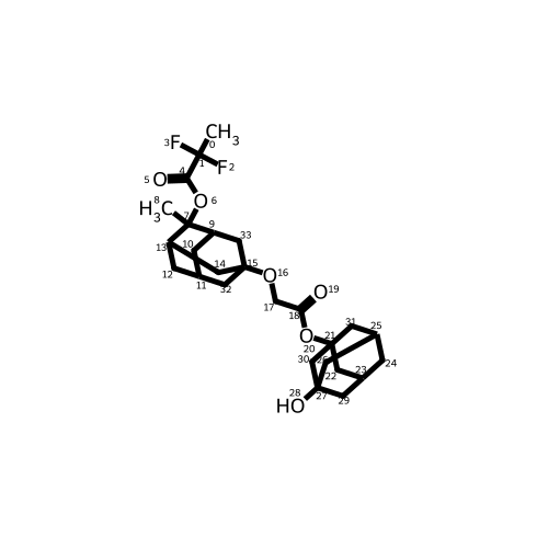 CC(F)(F)C(=O)OC1(C)C2CC3CC1CC(OCC(=O)OC14CC5CC(CC(O)(C5)C1)C4)(C3)C2